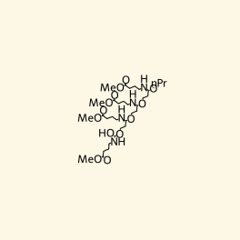 CCCOC(CCOC(CCOC(CCOC(O)NCCCC(=O)OC)NCCCC(=O)OC)NCCCC(=O)OC)NCCCC(=O)OC